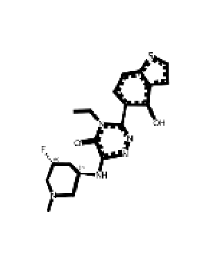 CCn1c(-c2ccc3sccc3c2O)nnc(N[C@@H]2C[C@@H](F)CN(C)C2)c1=O